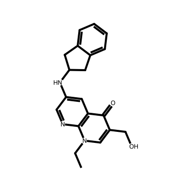 CCn1cc(CO)c(=O)c2cc(NC3Cc4ccccc4C3)cnc21